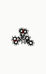 c1ccc(CN(Cc2ccccc2)C(Cc2cccc3c2[nH]c2ccccc23)N(Cc2ccccc2)Cc2ccccc2)cc1